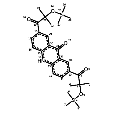 CC(C)(O[Si](C)(C)C)C(=O)c1ccc2[nH]c3ccc(C(=O)C(C)(C)O[Si](C)(C)C)cc3c(=O)c2c1